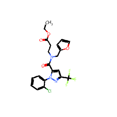 CCOC(=O)CCN(Cc1ccco1)C(=O)c1cc(C(F)(F)F)nn1-c1ccccc1Cl